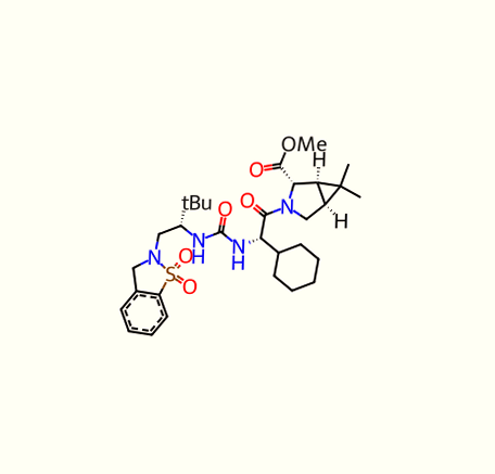 COC(=O)[C@@H]1[C@@H]2[C@H](CN1C(=O)[C@@H](NC(=O)N[C@H](CN1Cc3ccccc3S1(=O)=O)C(C)(C)C)C1CCCCC1)C2(C)C